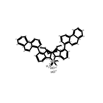 CCCC1=Cc2c(-c3cccc4c3ccc3ccccc34)cccc2[CH]1[Hf]([CH3])([CH3])(=[SiH2])[CH]1C(CCC)=Cc2c(-c3cccc4c3ccc3ccccc34)cccc21.Cl.Cl